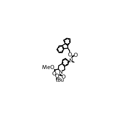 COC(=O)C1Cc2ccc(N(C)C(=O)OCC3c4ccccc4-c4ccccc43)cc2CN1C(=O)OC(C)(C)C